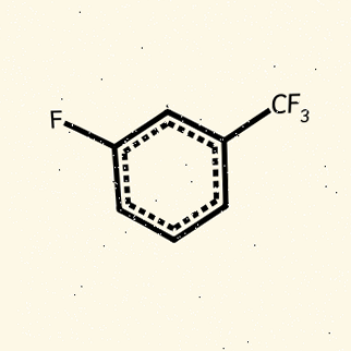 Fc1[c]c(C(F)(F)F)ccc1